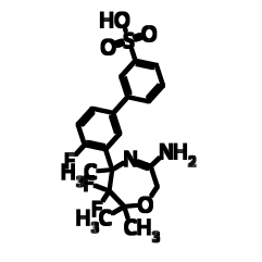 CC1(C)OCC(N)=NC(C)(c2cc(-c3cccc(S(=O)(=O)O)c3)ccc2F)C1(F)F